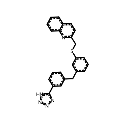 c1cc(Cc2cccc(-c3nnn[nH]3)c2)cc(SCc2ccc3ccccc3n2)c1